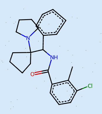 Cc1c(Cl)cccc1C(=O)NC(c1ccccc1)C1(N2CCCC2)CCCC1